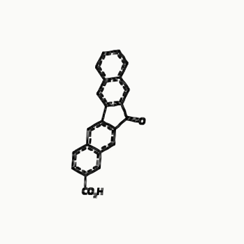 O=C(O)c1ccc2cc3c(cc2c1)C(=O)c1cc2ccccc2cc1-3